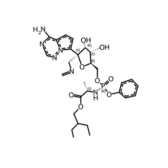 C=NC[C@@]1(c2ccc3c(N)ncnn23)O[C@H](CO[P@](=O)(N[C@@H](C)C(=O)OCC(CC)CC)Oc2ccccc2)[C@@H](O)[C@H]1O